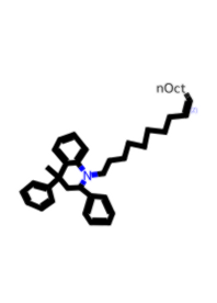 CCCCCCCC/C=C\CCCCCCCCN1c2ccccc2C(C)(c2ccccc2)CC1c1ccccc1